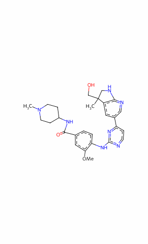 COc1cc(C(=O)NC2CCN(C)CC2)ccc1Nc1nccc(-c2cnc3c(c2)C(C)(CO)CN3)n1